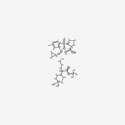 Cc1ccc(S(=O)(=O)N2CCC[C@H]2C(=O)O)c(O[C@H](CCCCN(C(=O)OC(C)(C)C)C2CCC(F)(F)CC2)C2CC2)c1